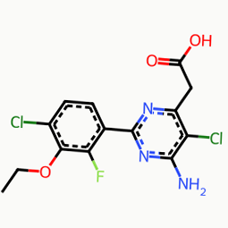 CCOc1c(Cl)ccc(-c2nc(N)c(Cl)c(CC(=O)O)n2)c1F